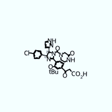 CC(C)(C)Oc1cc(C(=O)CC(=O)O)ccc1C1=N[C@@H](c2ccc(Cl)cc2)[C@@H](c2cc[nH]n2)N1C(=O)N1CCNC(=O)C1